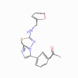 CC(=O)c1cccc(-c2cnc3sc(NCc4ccco4)nn23)c1